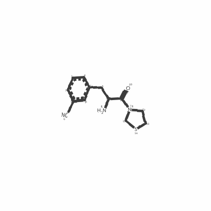 N#Cc1cccc(CC(N)C(=O)N2CCSC2)c1